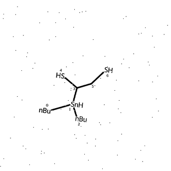 CCC[CH2][SnH]([CH2]CCC)[CH](S)CS